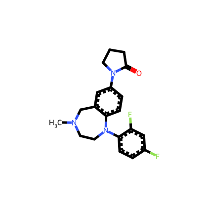 CN1CCN(c2ccc(F)cc2F)c2ccc(N3CCCC3=O)cc2C1